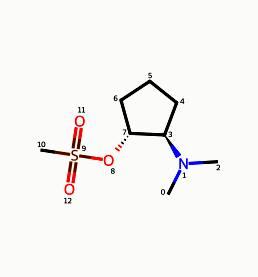 CN(C)[C@@H]1CCC[C@H]1OS(C)(=O)=O